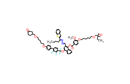 CCCC/C(=N\N=C\c1cc(OC(F)(F)c2ccc(-c3ccc(OCCCCCOCC4CCC5OC5C4)cc3)c(F)c2F)c2ccccc2c1OC(=O)c1ccc(OCCCCCCOCC2(CC)COC2)c(OC)c1)c1cc2ccccc2s1